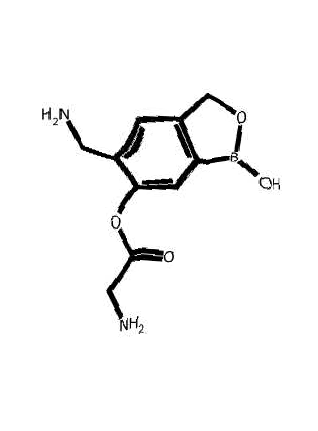 NCC(=O)Oc1cc2c(cc1CN)COB2O